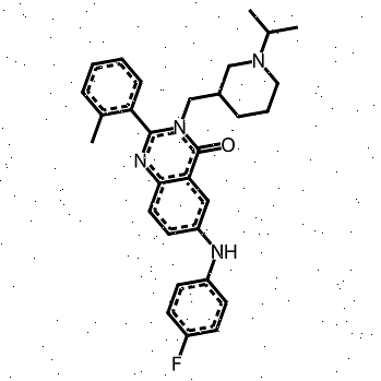 Cc1ccccc1-c1nc2ccc(Nc3ccc(F)cc3)cc2c(=O)n1CC1CCCN(C(C)C)C1